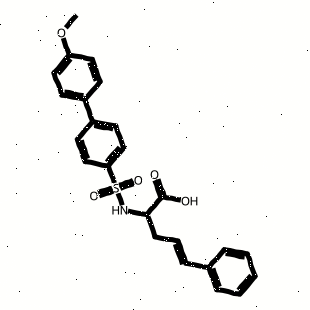 COc1ccc(-c2ccc(S(=O)(=O)NC(C/C=C/c3ccccc3)C(=O)O)cc2)cc1